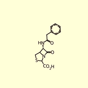 O=C(Cc1ccccc1)N[C@H]1C(=O)N2C(C(=O)O)SCC12